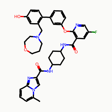 Cc1cccc2nc(C(=O)NC3CCC(NC(=O)c4cc(F)cnc4Oc4cccc(-c5ccc(O)cc5CN5CCCOCC5)c4)CC3)cn12